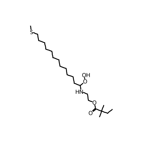 CCC(C)(C)C(=O)OCCNC(CCCCCCCCCCCCSC)OO